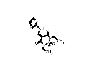 CCN1C(=O)C(=CNc2nccs2)C(=O)N(CC)S1(=O)=O